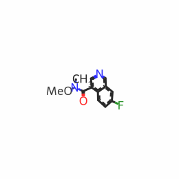 CON(C)C(=O)c1cncc2cc(F)ccc12